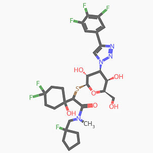 CN(CC1(F)CCCC1)C(=O)C(S[C@@H]1O[C@H](CO)[C@H](O)[C@H](n2cc(-c3cc(F)c(F)c(F)c3)nn2)[C@H]1O)C1(O)CCC(F)(F)CC1